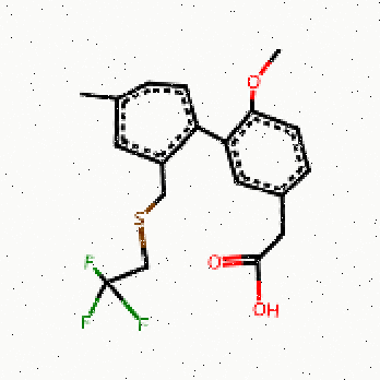 COc1ccc(CC(=O)O)cc1-c1ccc(C)cc1CSCC(F)(F)F